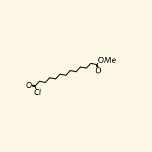 COC(=O)CCCCCCCCCCCC(=O)Cl